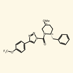 CO[C@H]1CC[C@H](Cc2ccccc2)N(C(=O)n2cc(-c3ccc(OC(F)(F)F)cc3)nn2)C1